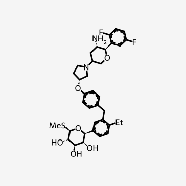 CCc1ccc([C@@H]2O[C@H](SC)[C@@H](O)[C@H](O)[C@H]2O)cc1Cc1ccc(O[C@@H]2CCN(C3CO[C@H](c4cc(F)ccc4F)[C@@H](N)C3)C2)cc1